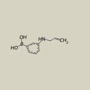 C=CCNc1cccc(B(O)O)c1